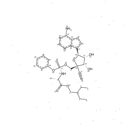 CCC(CC)COC(=O)[C@H](C)N[P@](=O)(OC[C@@]1(C#N)O[C@@H](c2ccc3c(N)ncnn23)[C@H](O)[C@@H]1O)Oc1ccccc1